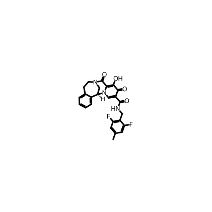 Cc1cc(F)c(CNC(=O)c2cn3c(c(O)c2=O)C(=O)N2CCc4ccccc4[C@H]3C2)c(F)c1